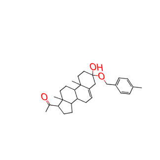 CC(=O)C1CCC2C3CC=C4CC(O)(OCc5ccc(C)cc5)CCC4(C)C3CCC12C